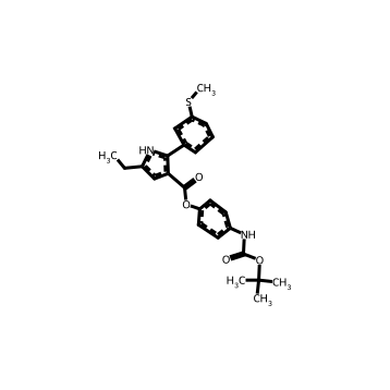 CCc1cc(C(=O)Oc2ccc(NC(=O)OC(C)(C)C)cc2)c(-c2cccc(SC)c2)[nH]1